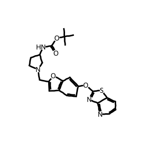 CC(C)(C)OC(=O)NC1CCN(Cc2cc3ccc(Oc4nc5ncccc5s4)cc3o2)C1